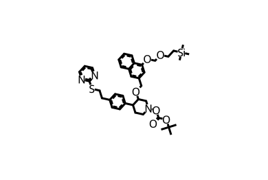 CC(C)(C)OC(=O)ON1CCC(c2ccc(CCSc3ncccn3)cc2)C(OCc2cc(OCOCC[Si](C)(C)C)c3ccccc3c2)C1